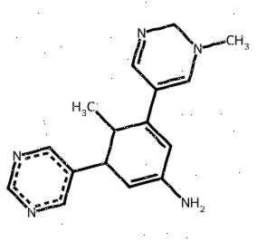 CC1C(C2=CN(C)CN=C2)=CC(N)=CC1c1cncnc1